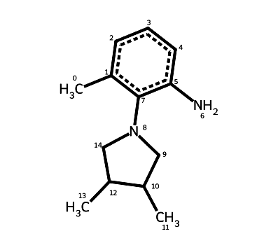 Cc1cccc(N)c1N1CC(C)C(C)C1